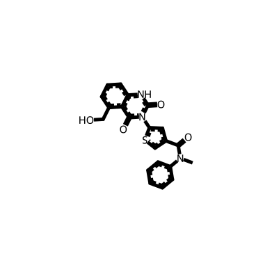 CN(C(=O)c1csc(-n2c(=O)[nH]c3cccc(CO)c3c2=O)c1)c1ccccc1